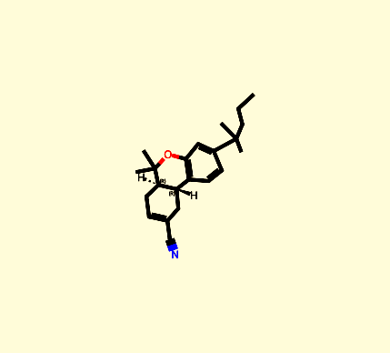 CCCC(C)(C)c1ccc2c(c1)OC(C)(C)[C@@H]1CC=C(C#N)C[C@@H]21